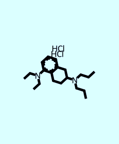 CCCN(CCC)C1CCc2c(cccc2N(CC)CC)C1.Cl.Cl